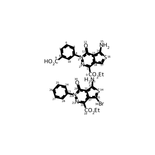 CCOC(=O)c1nn(-c2cccc(C(=O)O)c2)c(=O)c2c(N)scc12.CCOC(=O)c1nn(-c2ccccc2)c(=O)c2c(N)sc(Br)c12